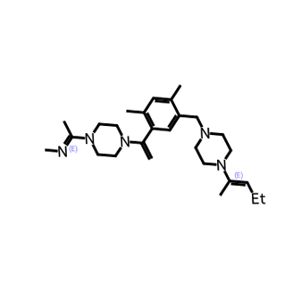 C=C(c1cc(CN2CCN(/C(C)=C/CC)CC2)c(C)cc1C)N1CCN(/C(C)=N/C)CC1